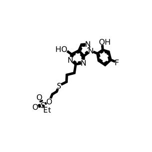 CCS(=O)(=O)OCCSCCCc1nc(O)c2cnn(-c3ccc(F)cc3O)c2n1